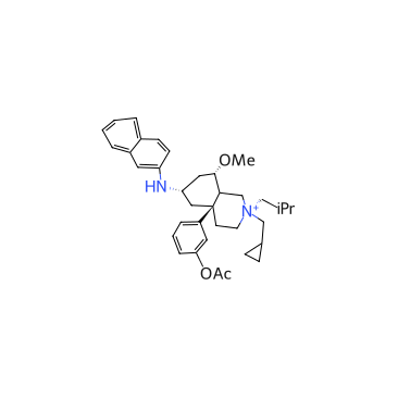 CO[C@H]1C[C@@H](Nc2ccc3ccccc3c2)C[C@@]2(c3cccc(OC(C)=O)c3)CC[N@+](CC(C)C)(CC3CC3)CC12